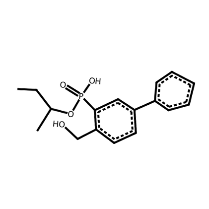 CCC(C)OP(=O)(O)c1cc(-c2ccccc2)ccc1CO